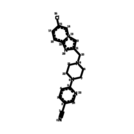 N#Cc1ccc(N2CCN(Cc3cn4cc(Cl)ccc4n3)CC2)nc1